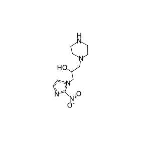 O=[N+]([O-])c1nccn1CC(O)CN1CCNCC1